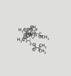 C=C(C)C(=O)OCCC[Si](C)(C)O[Si](C)(C)O[Si](C)(C)CCCOC